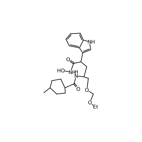 CCOCOCC(CC(C(=O)NO)c1c[nH]c2ccccc12)NC(=O)C1CCC(C)CC1